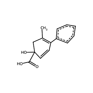 CC1=C(c2ccccc2)C=CC(O)(C(=O)O)C1